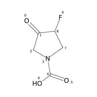 O=C1CN(C(=O)O)CC1F